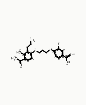 CCCc1c(OCCCSc2ccc(C(=O)O)cc2F)ccc(C(C)=O)c1O